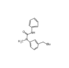 CN(C(=O)Nc1ccccc1)c1cccc(CC(C)(C)C)c1